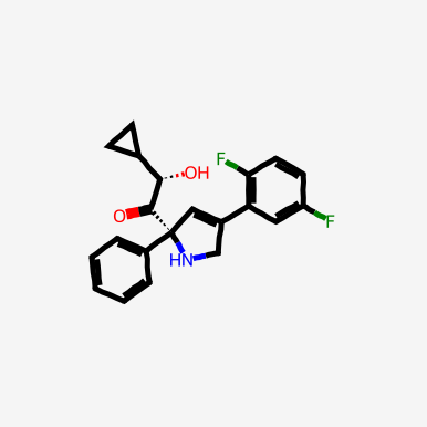 O=C([C@@H](O)C1CC1)[C@]1(c2ccccc2)C=C(c2cc(F)ccc2F)CN1